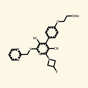 COCCOc1ccc(-c2c(C#N)c(SCc3ncccn3)nc(N3CC(F)C3)c2C#N)cc1